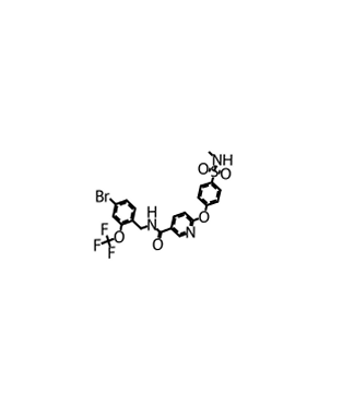 CNS(=O)(=O)c1ccc(Oc2ccc(C(=O)NCc3ccc(Br)cc3OC(F)(F)F)cn2)cc1